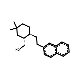 CC1(C)CC[C@@H](CCc2ccc3ccccc3c2)[C@H](CO)C1